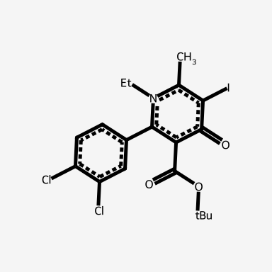 CCn1c(C)c(I)c(=O)c(C(=O)OC(C)(C)C)c1-c1ccc(Cl)c(Cl)c1